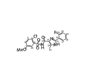 COc1ccc(Cl)c(S(=O)(=O)NC(=O)c2nc(-c3ccccc3F)[nH]c2C)c1